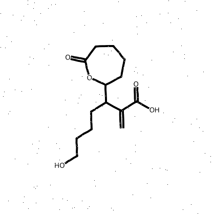 C=C(C(=O)O)C(CCCCO)C1CCCCC(=O)O1